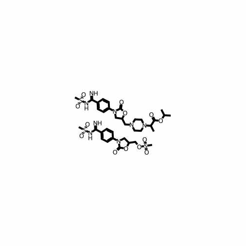 CC(C)OC(=O)C(C)N1CCN(CC2CN(c3ccc(C(=N)NS(C)(=O)=O)cc3)C(=O)O2)CC1.CS(=O)(=O)NC(=N)c1ccc(N2CC(COS(C)(=O)=O)OC2=O)cc1